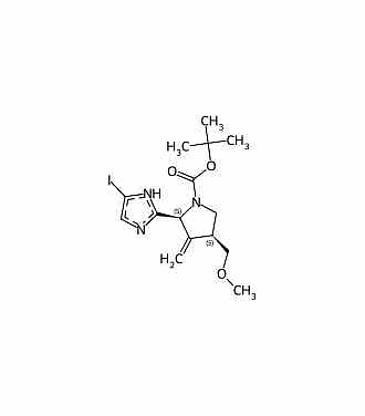 C=C1[C@H](COC)CN(C(=O)OC(C)(C)C)[C@@H]1c1ncc(I)[nH]1